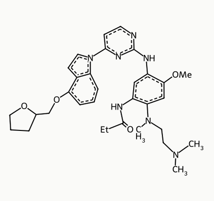 CCC(=O)Nc1cc(Nc2nccc(-n3ccc4c(OCC5CCCO5)cccc43)n2)c(OC)cc1N(C)CCN(C)C